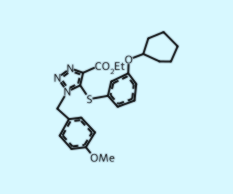 CCOC(=O)c1nnn(Cc2ccc(OC)cc2)c1Sc1cccc(OC2CCCCC2)c1